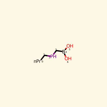 CCCCPCB(O)O